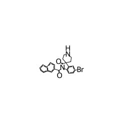 O=C(c1ccc2ccccc2c1)N1C(=O)C2(CCNCC2)c2cc(Br)ccc21